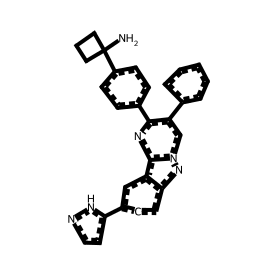 NC1(c2ccc(-c3nc4c5cc(-c6ccn[nH]6)ccc5nn4cc3-c3ccccc3)cc2)CCC1